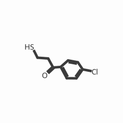 O=C(CCS)c1ccc(Cl)cc1